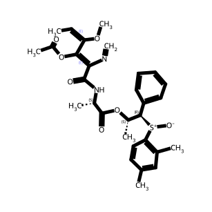 C=N/C(C(=O)N[C@@H](C)C(=O)O[C@@H](C)[C@@H](c1ccccc1)[S+]([O-])c1ccc(C)cc1C)=C(OC(C)=O)\C(=C/C)OC